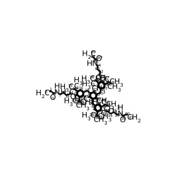 C=CC(=O)NCCCCOc1c(C(C)(C)C)cc(Cc2c(C)c(Cc3cc(C(C)(C)C)c(OCCCCNC(=O)C=C)c(C(C)(C)C)c3)c(C)c(Cc3cc(C(C)(C)C)c(OCCCCNC(=O)C=C)c(C(C)(C)C)c3)c2C)cc1C(C)(C)C